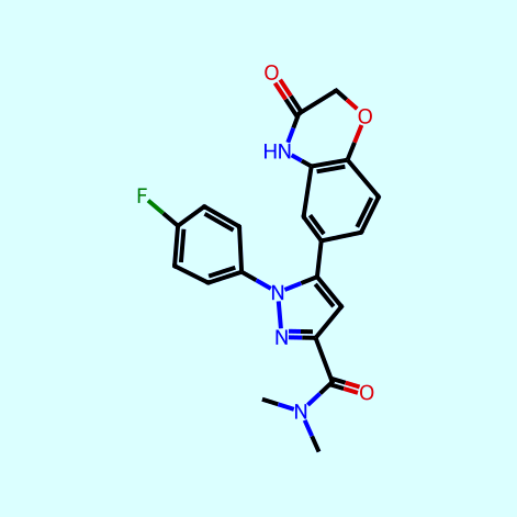 CN(C)C(=O)c1cc(-c2ccc3c(c2)NC(=O)CO3)n(-c2ccc(F)cc2)n1